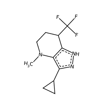 CN1CCC(C(F)(F)F)c2[nH]nc(C3CC3)c21